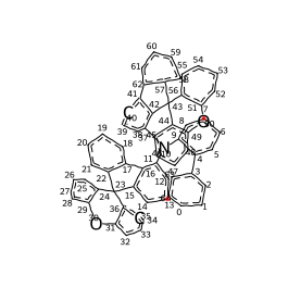 c1ccc(-c2ccccc2N(c2cccc3c2-c2ccccc2C32c3ccccc3Oc3ccccc32)c2cccc3c2C2(c4ccccc4Oc4ccccc42)c2ccccc2-3)cc1